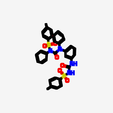 Cc1ccc(S(=O)(=O)NC(=O)Nc2cccc(N(C(=O)N(c3ccccc3)S(=O)(=O)c3ccc(C)cc3)c3ccccc3)c2)cc1